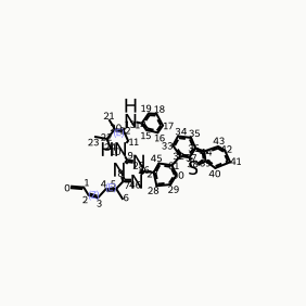 C=C/C=C\C=C(/C)c1nc(NC/C(Nc2ccccc2)=C(/C)C(C)C)nc(-c2cccc(-c3cccc4c3sc3ccccc34)c2)n1